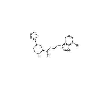 O=C(CCCc1c[nH]c2c(Br)cccc12)C1CC(c2cccs2)=CCN1